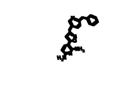 Nc1ccc(-c2cc(Cc3ccc(Cc4ccccc4)nc3)no2)c(N)n1